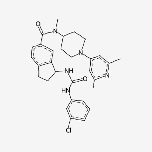 Cc1cc(N2CCC(N(C)C(=O)c3ccc4c(c3)C(NC(=O)Nc3cccc(Cl)c3)CC4)CC2)cc(C)n1